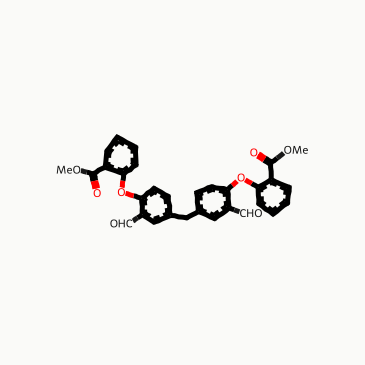 COC(=O)c1ccccc1Oc1ccc(Cc2ccc(Oc3ccccc3C(=O)OC)c(C=O)c2)cc1C=O